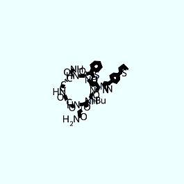 CC[C@H](C)[C@@H]1NC(=O)[C@H](CCC(N)=O)NC(=O)CCC(=O)NCCCC[C@@H](C(N)=O)NC(=O)[C@H](Cc2csc3ccccc23)NC(=O)[C@@H]2C[C@H](n3cc(-c4ccc(-c5cccs5)cc4)nn3)CN2C1=O